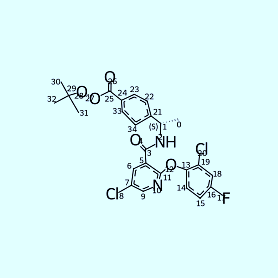 C[C@H](NC(=O)c1cc(Cl)cnc1Oc1ccc(F)cc1Cl)c1ccc(C(=O)OOC(C)(C)C)cc1